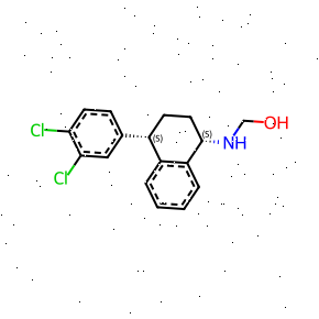 OCN[C@H]1CC[C@@H](c2ccc(Cl)c(Cl)c2)c2ccccc21